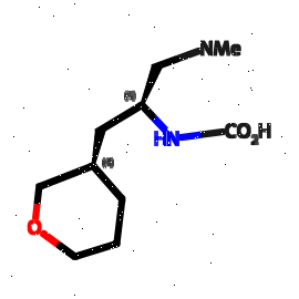 CNC[C@H](C[C@H]1CCCOC1)NC(=O)O